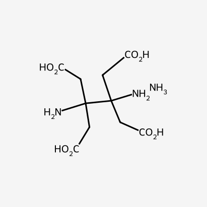 N.NC(CC(=O)O)(CC(=O)O)C(N)(CC(=O)O)CC(=O)O